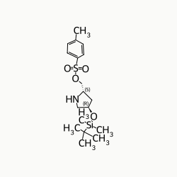 Cc1ccc(S(=O)(=O)OC[C@@H]2C[C@@H](O[Si](C)(C)C(C)(C)C)CN2)cc1